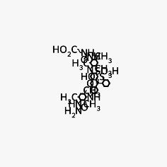 Cc1cc(C)c(NC(=O)NCCC(=O)O)c(C)c1/N=c1/cc2oc3cc(Nc4c(C)cc(C)c(NC(N)=O)c4C)ccc3c(-c3ccccc3S(=O)(=O)O)c-2cc1S(=O)(=O)O